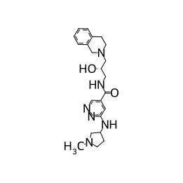 CN1CCC(Nc2cc(C(=O)NC[C@H](O)CN3CCc4ccccc4C3)cnn2)C1